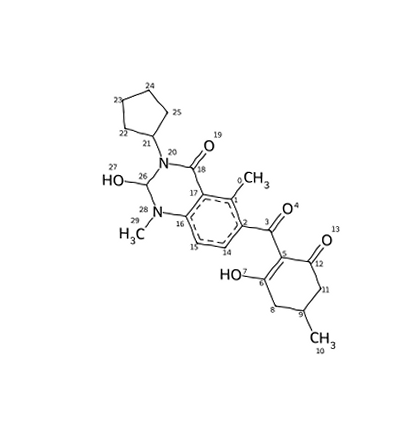 Cc1c(C(=O)C2=C(O)CC(C)CC2=O)ccc2c1C(=O)N(C1CCCC1)C(O)N2C